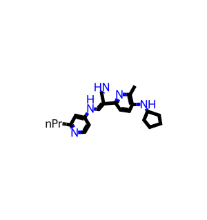 CCCc1cc(N/C=C(\C=N)c2ccc(NC3CCCC3)c(C)n2)ccn1